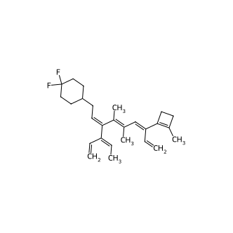 C=C\C(=C/C(C)=C(C)/C(=C\CC1CCC(F)(F)CC1)C(/C=C)=C/C)C1=C(C)CC1